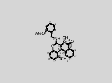 COc1ccccc1CNC(=O)c1c(-c2ccccc2C)c2ccccc2c(=O)n1C